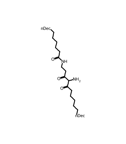 CCCCCCCCCCCCCCCC(=O)NCCC(=O)C(N)C(=O)CCCCCCCCCCCCCCC